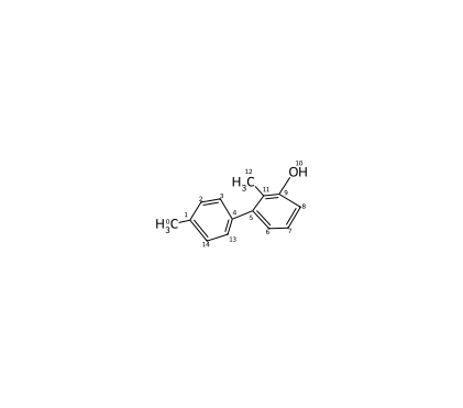 Cc1ccc(-c2cccc(O)c2C)cc1